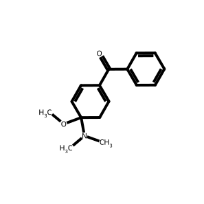 COC1(N(C)C)C=CC(C(=O)c2ccccc2)=CC1